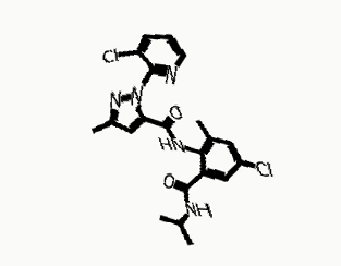 Cc1cc(C(=O)Nc2c(C)cc(Cl)cc2C(=O)NC(C)C)n(-c2ncccc2Cl)n1